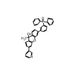 CC1(C)c2ccc(-c3cccnc3)cc2Oc2cc(-c3cccc(P(=O)(c4ccccc4)c4ccccc4)c3)ccc21